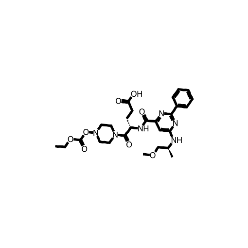 CCOC(=O)ON1CCN(C(=O)[C@H](CCC(=O)O)NC(=O)c2cc(N[C@@H](C)COC)nc(-c3ccccc3)n2)CC1